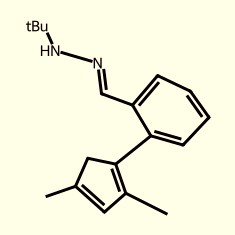 CC1=CC(C)=C(c2ccccc2C=NNC(C)(C)C)C1